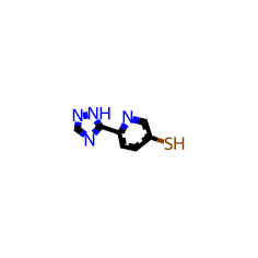 Sc1ccc(-c2ncn[nH]2)nc1